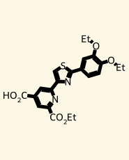 CCOC(=O)c1cc(C(=O)O)cc(-c2csc(-c3ccc(OCC)c(OCC)c3)n2)n1